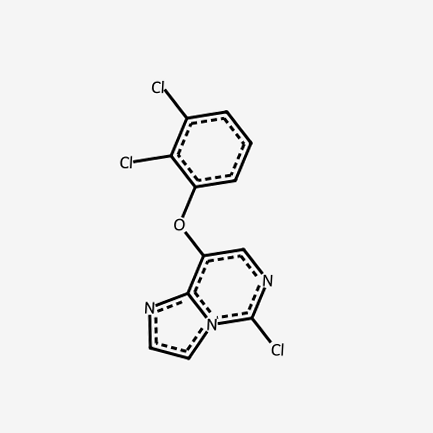 Clc1cccc(Oc2cnc(Cl)n3ccnc23)c1Cl